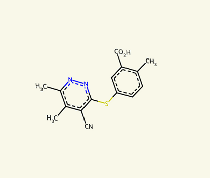 Cc1ccc(Sc2nnc(C)c(C)c2C#N)cc1C(=O)O